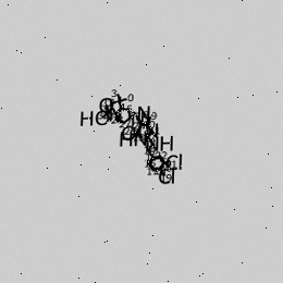 CC(C)(C)C1CC(n2ncc3nc(NCc4ccc(Cl)c(Cl)c4)[nH]c(=O)c32)CCN1C(=O)O